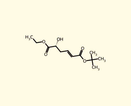 CCOC(=O)[C@H](O)C/C=C/C(=O)OC(C)(C)C